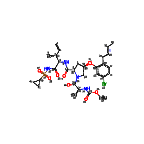 C=C[C@H](CC)C(NC(=O)[C@@H]1C[C@@H](Oc2cc(Br)ccc2C/C=C/C)CN1C(=O)[C@@H](NC(=O)OCCCC)C(C)(C)C)C(=O)NS(=O)(=O)C1CC1